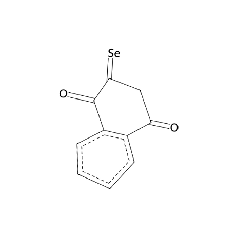 O=C1CC(=[Se])C(=O)c2ccccc21